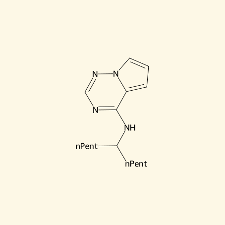 CCCCCC(CCCCC)Nc1ncnn2cccc12